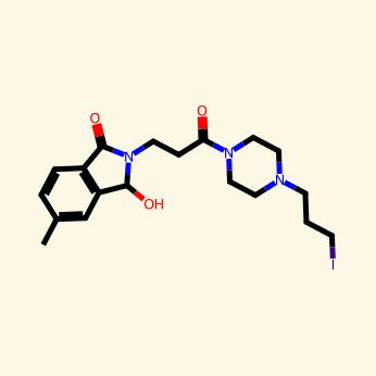 Cc1ccc2c(c1)C(O)N(CCC(=O)N1CCN(CCCI)CC1)C2=O